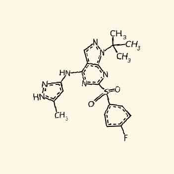 Cc1cc(Nc2nc(S(=O)(=O)c3ccc(F)cc3)nc3c2cnn3C(C)(C)C)n[nH]1